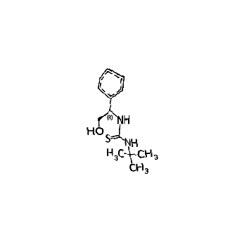 CC(C)(C)NC(=S)N[C@@H](CO)c1ccccc1